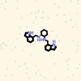 c1cc(CNC2CCCC[C@H]2NCc2cccc3cc[nH]c23)c2[nH]ccc2c1